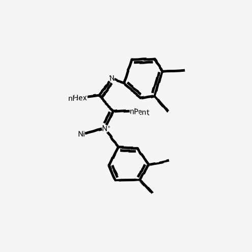 CCCCCCC(=Nc1ccc(C)c(C)c1)C(CCCCC)=[N+]([Ni])c1ccc(C)c(C)c1